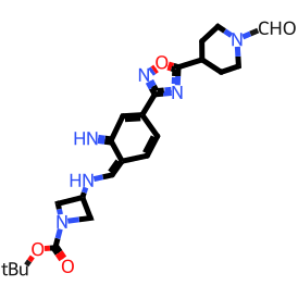 CC(C)(C)OC(=O)N1CC(N/C=C2/C=CC(c3noc(C4CCN(C=O)CC4)n3)=CC2=N)C1